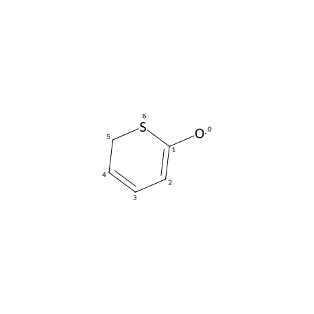 [O]C1=CC=CCS1